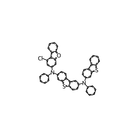 Clc1cc(N(c2ccccc2)c2ccc3c(c2)sc2ccc(N(c4ccccc4)c4ccc5c(c4)sc4ccccc45)cc23)cc2oc3ccccc3c12